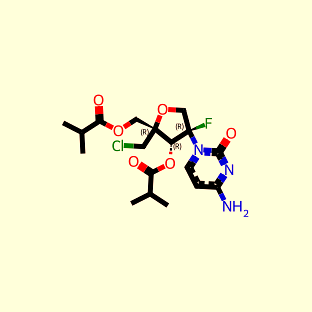 CC(C)C(=O)OC[C@@]1(CCl)OC[C@](F)(n2ccc(N)nc2=O)[C@@H]1OC(=O)C(C)C